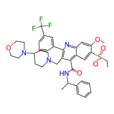 CCS(=O)(=O)c1cc2c(C(=O)NC(C)c3ccccc3)c(CN3CCC(N4CCOCC4)CC3)c(-c3cccc(C(F)(F)F)c3)nc2cc1OC